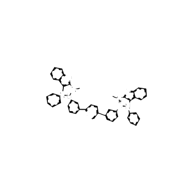 CN1B(c2cccc(-c3ccc(-c4cccc(B5N(C)c6sc7ccccc7c6N5c5ccccc5)c4)cc3)c2)N(c2ccccc2)c2c1oc1ccccc21